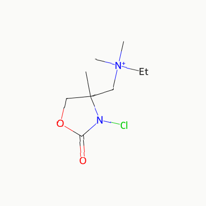 CC[N+](C)(C)CC1(C)COC(=O)N1Cl